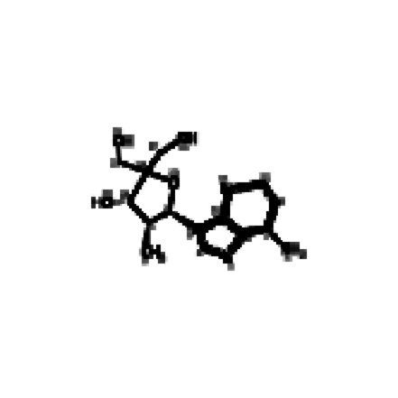 C[C@@H]1[C@H](n2cnc3c(N)ccnc32)OC(CO)(CO)[C@H]1O